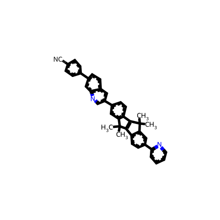 CC1(C)C2=C(c3ccc(-c4cnc5cc(-c6ccc(C#N)cc6)ccc5c4)cc31)C(C)(C)c1cc(-c3ccccn3)ccc12